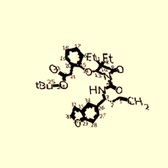 C=CC[C@@H](NC(=O)N1C(=O)C(CC)(CC)[C@@H]1Oc1ccccc1CC(=O)OC(C)(C)C)c1ccc2occc2c1